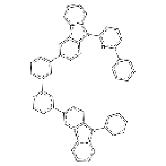 c1ccc(-c2cccc(-n3c4ccccc4c4cc(-c5cccc(-c6cccc(-c7ccc8c(c7)c7ccccc7n8-c7ccccc7)c6)c5)ccc43)n2)cc1